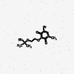 CC(C)c1cn(C)c(=O)n(OCCO[Si](C)(C)C(C)(C)C)c1=O